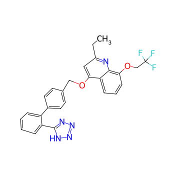 CCc1cc(OCc2ccc(-c3ccccc3-c3nnn[nH]3)cc2)c2cccc(OCC(F)(F)F)c2n1